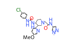 COc1ccc(C2CN(CC(=O)Nc3cnn(C)c3)CCC2NC(=O)Nc2ccc(Cl)cc2)nc1